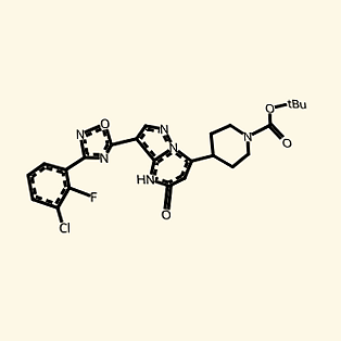 CC(C)(C)OC(=O)N1CCC(c2cc(=O)[nH]c3c(-c4nc(-c5cccc(Cl)c5F)no4)cnn23)CC1